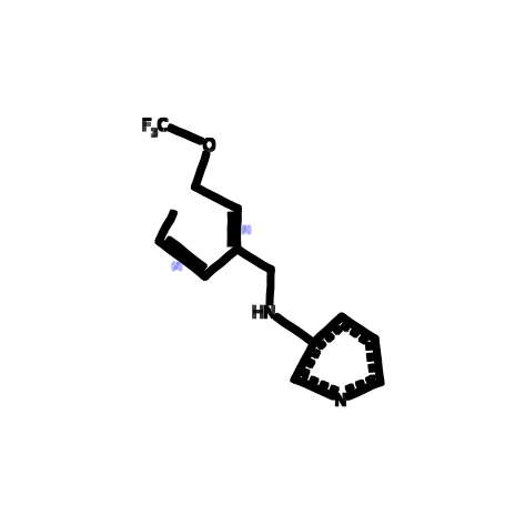 C/C=C\C(=C/COC(F)(F)F)CNc1cccnc1